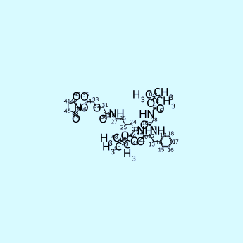 CC(C)(C)OC(=O)NCC(=O)N[C@@H](Cc1ccccc1)C(=O)N[C@@H](CCCCNC(=O)COCC(=O)ON1C(=O)CCC1=O)C(=O)OC(C)(C)C